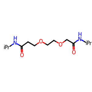 CC(C)NC(=O)CCOCCOCC(=O)NC(C)C